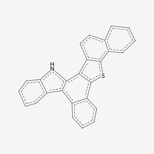 c1ccc2c(c1)ccc1c2sc2c3ccccc3c3c4ccccc4[nH]c3c12